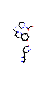 CN(Cc1ccc2cc(Oc3ccc(-c4ccn[nH]4)cn3)ccc2n1)[C@H]1CCN(C(=O)CO)C1